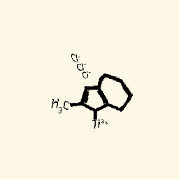 CC1=CC2=C(CCCC2)[CH]1[Ti+3].[Cl-].[Cl-].[Cl-]